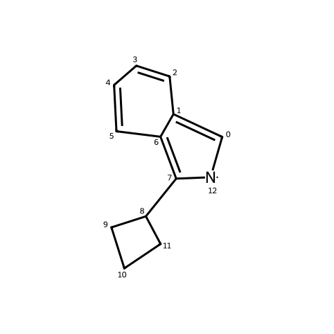 C1=c2ccccc2=C(C2CCC2)[N]1